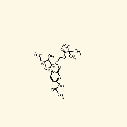 CC[C@H]1O[C@@H](n2ccc(NC(C)=O)nc2=O)[C@@H](OCOC(=O)C(C)(C)C)C1O